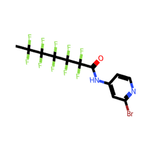 CC(F)(F)C(F)(F)C(F)(F)C(F)(F)C(F)(F)C(=O)Nc1ccnc(Br)c1